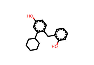 Oc1ccc(Cc2ccccc2O)c(C2CCCCC2)c1